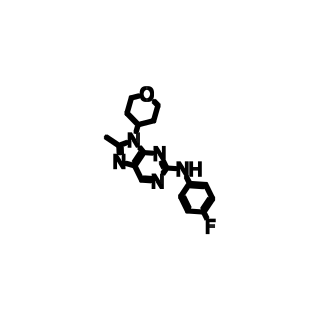 Cc1nc2cnc(Nc3ccc(F)cc3)nc2n1C1CCOCC1